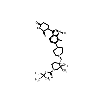 Cn1nc(C2CCC(=O)NC2=O)c2ccc(C3CCN(C[C@H]4CCN(C(=O)OC(C)(C)C)CC4(C)C)CC3)c(F)c21